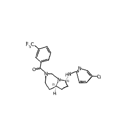 O=C(c1cccc(C(F)(F)F)c1)N1CC[C@@H]2CC[C@@H](Nc3ccc(Cl)cn3)N2C1